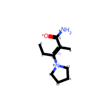 CC/C(=C(/C)C(N)=O)N1CCCC1